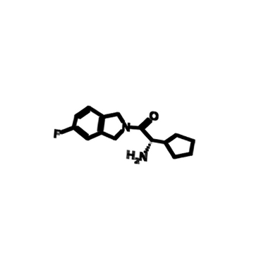 N[C@H](C(=O)N1Cc2ccc(F)cc2C1)C1CCCC1